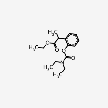 CCOC(=O)C(C)c1ccccc1OC(=O)N(CC)CC